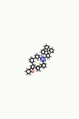 c1ccc(C2(c3ccccc3)c3ccccc3-c3c(-c4nc(-c5cccc(-c6cccc(-c7ccc8oc9ccccc9c8c7)c6)c5)nc(-c5cccc6c5sc5ccccc56)n4)cccc32)cc1